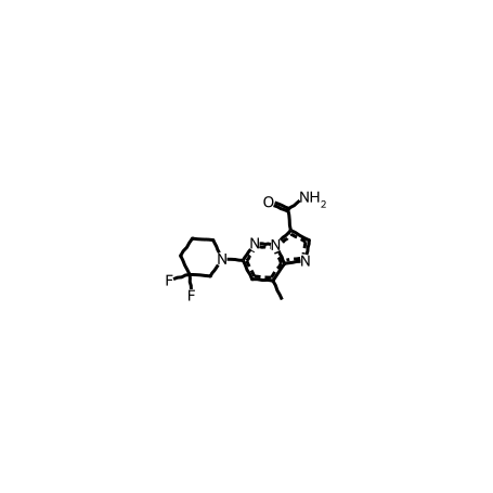 Cc1cc(N2CCCC(F)(F)C2)nn2c(C(N)=O)cnc12